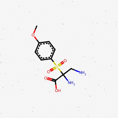 COc1ccc(S(=O)(=O)C(N)(CN)C(=O)O)cc1